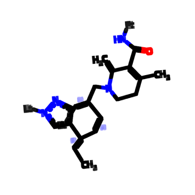 C=C1C(C(=O)NCC)=C(C)CCN1CC(/C=C\C(=C/C)c1cnn(CC)c1)=C/CC